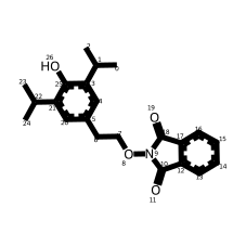 CC(C)c1cc(CCON2C(=O)c3ccccc3C2=O)cc(C(C)C)c1O